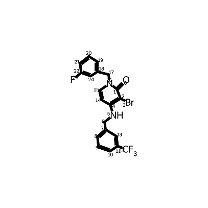 O=c1c(Br)c(NCc2cccc(C(F)(F)F)c2)ccn1Cc1cccc(F)c1